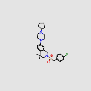 CC1(C)CN(S(=O)(=O)Cc2ccc(F)cc2)Cc2cc(N3CCN(C4CCCC4)CC3)ccc21